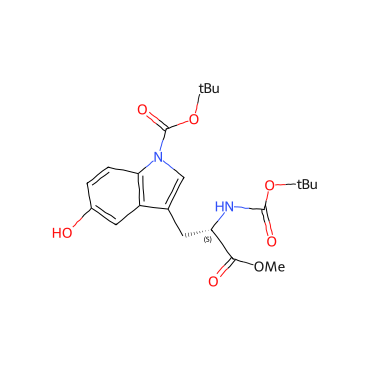 COC(=O)[C@H](Cc1cn(C(=O)OC(C)(C)C)c2ccc(O)cc12)NC(=O)OC(C)(C)C